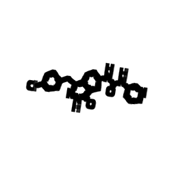 O=C(Nc1cccnc1)Nc1ccc2c(Cc3ccc(Cl)cc3)n[nH]c(=O)c2c1